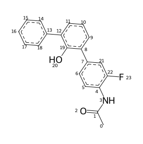 CC(=O)Nc1ccc(-c2cccc(-c3ccccc3)c2O)cc1F